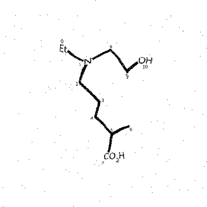 CCN([CH]CCC(C)C(=O)O)CCO